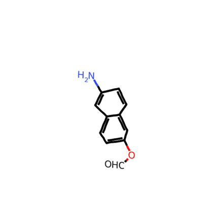 Nc1ccc2cc(OC=O)ccc2c1